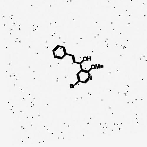 COc1ncc(Br)cc1C(O)C=Cc1ccccc1